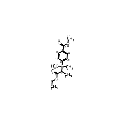 CCOC(=O)C(C)[Si](C)(C)c1ccc(C(=O)OC)cc1